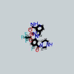 NC(=O)c1cccc2c1N(OC(=O)C(F)(F)F)N(c1ccc(F)c(C(=O)N3CCCNCC3)c1)C2